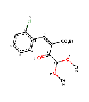 CCOC(=O)C(=Cc1ccccc1Cl)C(=O)C(OCC)OCC